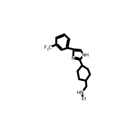 CCNCC1CCC(c2nc(-c3cccc(C(F)(F)F)c3)c[nH]2)CC1